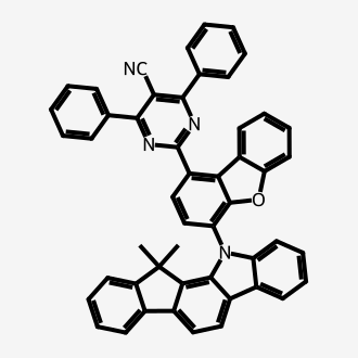 CC1(C)c2ccccc2-c2ccc3c4ccccc4n(-c4ccc(-c5nc(-c6ccccc6)c(C#N)c(-c6ccccc6)n5)c5c4oc4ccccc45)c3c21